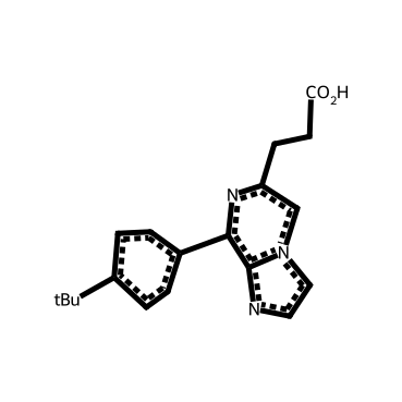 CC(C)(C)c1ccc(-c2nc(CCC(=O)O)cn3ccnc23)cc1